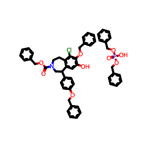 O=C(OCc1ccccc1)N1CCc2c(cc(O)c(OCc3ccccc3)c2Cl)C(c2ccc(OCc3ccccc3)cc2)C1.O=P(O)(OCc1ccccc1)OCc1ccccc1